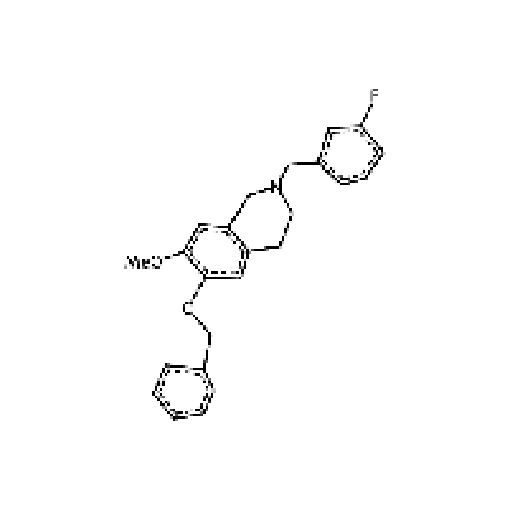 COc1cc2c(cc1OCc1ccccc1)CCN(Cc1cccc(F)c1)C2